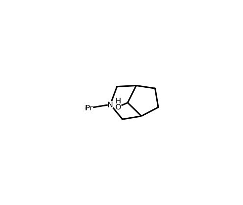 CC(C)N1CC2CCC(C1)C2O